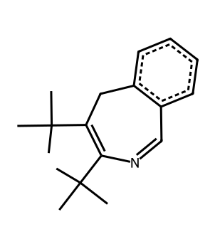 CC(C)(C)C1=C(C(C)(C)C)N=Cc2ccccc2C1